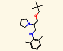 Cc1cccc(C)c1NCC(COCC(C)(C)C)N1CCCC1